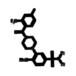 CCN(CC)S(=O)(=O)c1ccc(OC)c(N2CCN(C(=O)c3ccc(C)cc3C(F)(F)F)CC2)c1